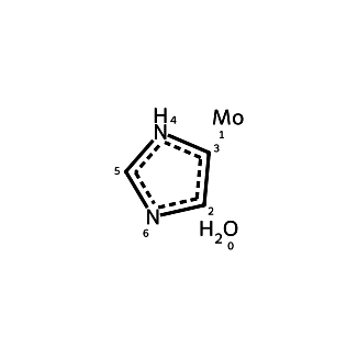 O.[Mo].c1c[nH]cn1